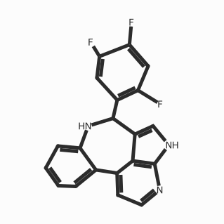 Fc1cc(F)c(C2Nc3ccccc3-c3ccnc4[nH]cc2c34)cc1F